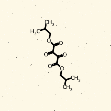 CC(C)COC(=O)C(=O)C(=O)C(=O)OCC(C)C